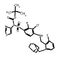 CC(C)(C)OC(=O)N(c1cscn1)S(=O)(=O)c1ccc(NCc2c(F)cccc2CN2C3CCC2CC3)c(Cl)c1F